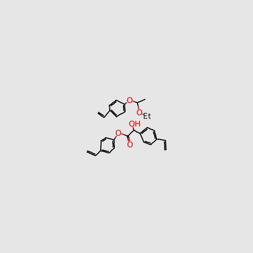 C=Cc1ccc(OC(=O)C(O)c2ccc(C=C)cc2)cc1.C=Cc1ccc(OC(C)OCC)cc1